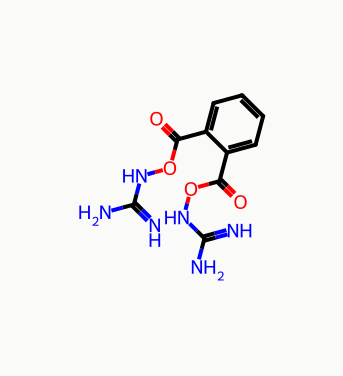 N=C(N)NOC(=O)c1ccccc1C(=O)ONC(=N)N